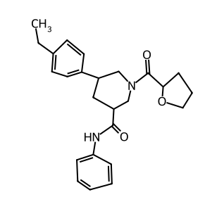 CCc1ccc(C2CC(C(=O)Nc3ccccc3)CN(C(=O)C3CCCO3)C2)cc1